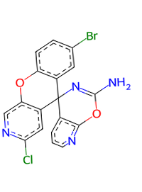 NC1=NC2(c3cc(Br)ccc3Oc3cnc(Cl)cc32)c2cccnc2O1